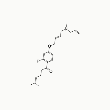 C=CCN(C)CC=CCOc1ccc(C(=O)CCC=C(C)C)c(F)c1